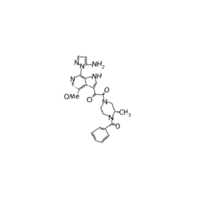 COc1cnc(-n2nccc2N)c2[nH]cc(C(=O)C(=O)N3CCN(C(=O)c4ccccc4)[C@H](C)C3)c12